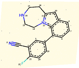 N#Cc1cc(-c2cccc3cc4n(c23)CCNCC4)ccc1F